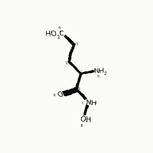 NC(CCC(=O)O)C(=O)NO